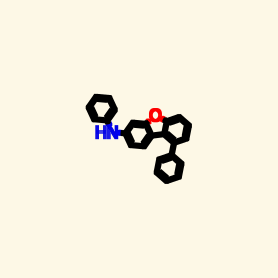 c1ccc(Nc2ccc3c(c2)oc2cccc(-c4ccccc4)c23)cc1